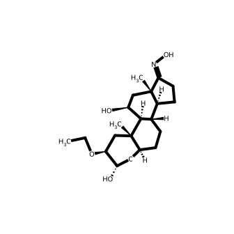 CCO[C@H]1C[C@@]2(C)[C@@H](CC[C@@H]3[C@@H]2[C@@H](O)C[C@]2(C)/C(=N/O)CC[C@@H]32)C[C@@H]1O